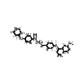 CC(=O)c1ccc2nccc(Nc3ccc(COCNc4ccc(Nc5ccncc5)cc4)cc3)c2c1